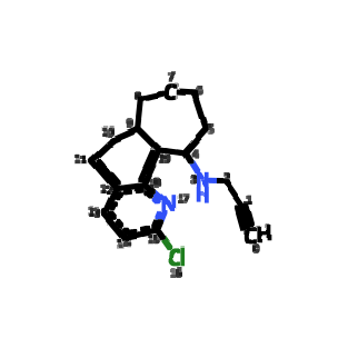 C#CCNC1CCCCC2CC=c3ccc(Cl)nc3=C21